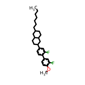 CCCCCCCC1CCC2CC(c3ccc(-c4ccc(OC)c(F)c4)c(F)c3)CCC2C1